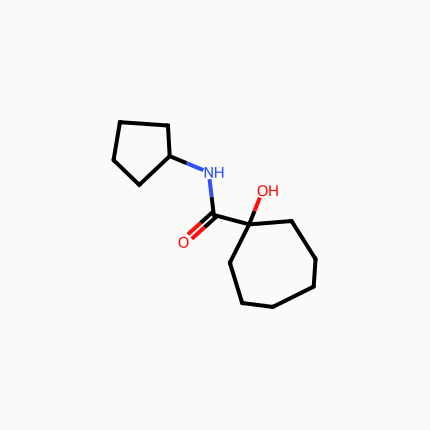 O=C(NC1CCCC1)C1(O)CCCCCC1